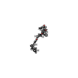 CC(C)(C)OC(=O)[C@@H]1[C@H]2CCC[C@H]2CN1C(=O)[C@@H](NC(=O)[C@@H](NC(=O)c1cnc(NCCOCCOCCNc2cccc3c2CN(C2CCC(=O)NC2=O)C3=O)cn1)C1CCCCC1)C(C)(C)C